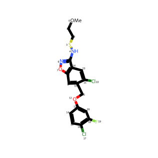 COCCSNc1noc2cc(COc3ccc(Cl)c(F)c3)c(Cl)cc12